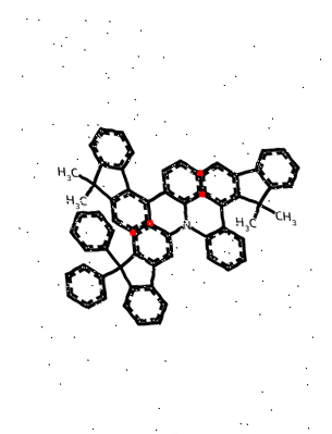 CC1(C)c2ccccc2-c2c(-c3ccccc3N(c3ccc4c(c3)-c3ccccc3C4(c3ccccc3)c3ccccc3)c3ccccc3-c3cccc4c3C(C)(C)c3ccccc3-4)cccc21